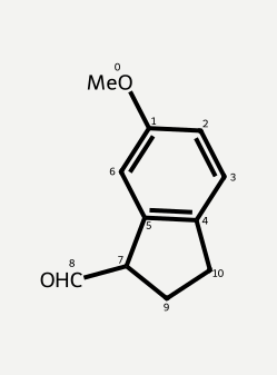 COc1ccc2c(c1)C(C=O)CC2